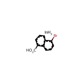 O=C(O)c1cccc2c(Br)cccc12.[InH3]